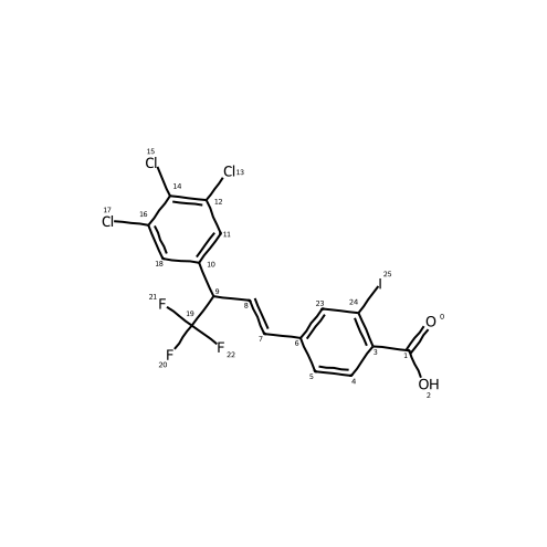 O=C(O)c1ccc(/C=C/C(c2cc(Cl)c(Cl)c(Cl)c2)C(F)(F)F)cc1I